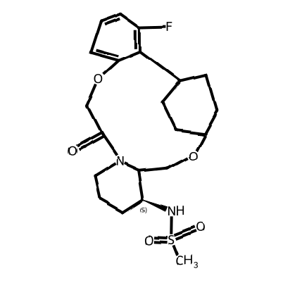 CS(=O)(=O)N[C@H]1CCCN2C(=O)COc3cccc(F)c3C3CCC(CC3)OCC12